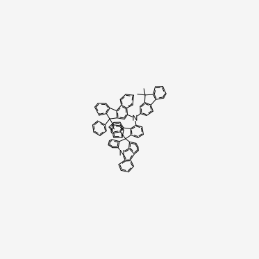 CC1(C)c2ccccc2-c2ccc(N(c3cccc4c3-c3ccccc3C43c4ccccc4-n4c5ccccc5c5cccc3c54)c3cc4c(c5ccccc35)-c3ccccc3C4(c3ccccc3)c3ccccc3)cc21